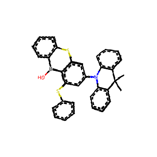 CC1(C)c2ccccc2N(c2cc(Sc3ccccc3)c3c(c2)Sc2ccccc2B3O)c2ccccc21